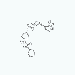 O=C(NC1CCCCC1)N[C@H]1CC[C@@H](NC(=O)O[C@@H]2CCN(c3cn[nH]c(=O)c3Cl)C2)CC1